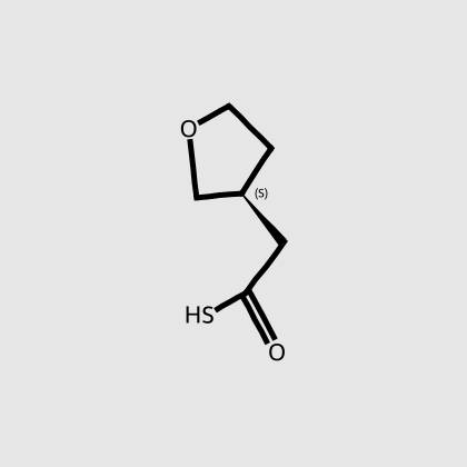 O=C(S)C[C@@H]1CCOC1